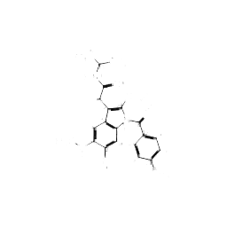 COc1cc2c(CC(=O)NC(C)C)c(C)n(C(=O)c3ccc(C)cc3)c2cc1F